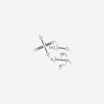 N.NN.O=S(=O)([O-])O.O=S(=O)([O-])[O-].[Al+3]